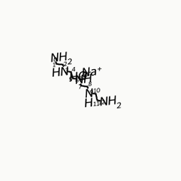 NCCNCCNCCNCCN.[Na+].[OH-]